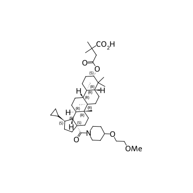 COCCOC1CCN(C(=O)[C@]23CC[C@@H](C4CC4)[C@@H]2[C@H]2CC[C@@H]4[C@@]5(C)CC[C@H](OC(=O)CC(C)(C)C(=O)O)C(C)(C)[C@@H]5CC[C@@]4(C)[C@]2(C)CC3)CC1